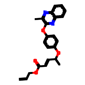 C=CCOC(=O)C=CC(C)Oc1ccc(Oc2nc3ccccc3nc2C)cc1